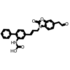 O=CCc1ccc2c(c1)oc(=O)n2C/C=C/c1ccc(-c2ccccc2)c(NC(=O)O)c1